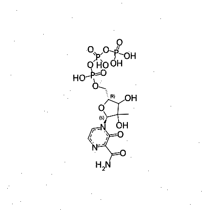 CC1(O)C(O)[C@@H](COP(=O)(O)OP(=O)(O)OP(=O)(O)O)O[C@@H]1n1ccnc(C(N)=O)c1=O